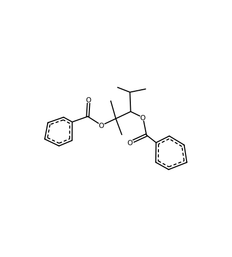 CC(C)C(OC(=O)c1ccccc1)C(C)(C)OC(=O)c1ccccc1